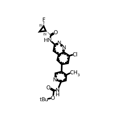 Cc1cc(NC(=O)OC(C)(C)C)ncc1-c1cc(Cl)c2nnc(NC(=O)[C@@H]3C[C@@H]3F)cc2c1